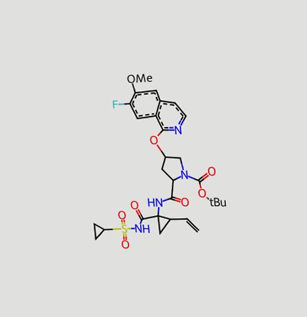 C=CC1CC1(NC(=O)C1CC(Oc2nccc3cc(OC)c(F)cc23)CN1C(=O)OC(C)(C)C)C(=O)NS(=O)(=O)C1CC1